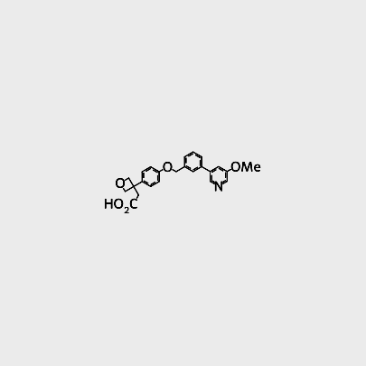 COc1cncc(-c2cccc(COc3ccc(C4(CC(=O)O)COC4)cc3)c2)c1